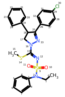 CCN(c1ccccc1)S(=O)(=O)N=C(SC)N1CC(c2ccccc2)C(c2ccc(Cl)cc2)=N1